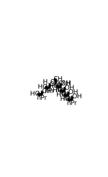 C=C(C)C(=O)O.CCCC(O)CCO.CCCC(O)CCO.CCCC(O)CCO.CCCC(O)CCO.CCCC(O)CCO.CCCC(O)CCO